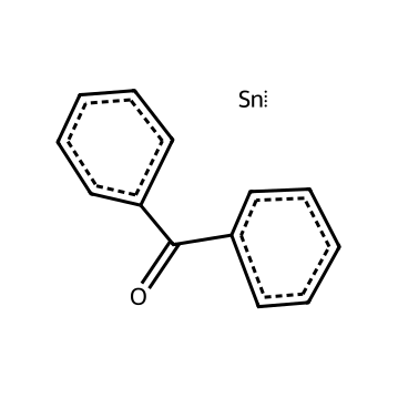 O=C(c1ccccc1)c1ccccc1.[Sn]